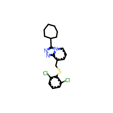 Clc1cccc(Cl)c1SCc1cccn2c(C3CCCCCC3)nnc12